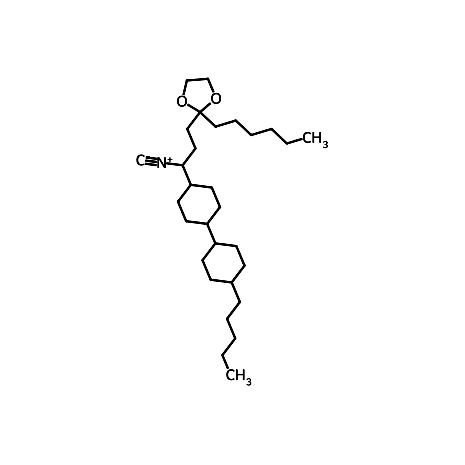 [C-]#[N+]C(CCC1(CCCCCC)OCCO1)C1CCC(C2CCC(CCCCC)CC2)CC1